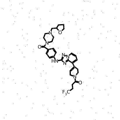 O=C(CCC(F)(F)F)N1CC=C(c2cccn3nc(Nc4ccc(C(=O)N5CCN(CC6CCCO6)CC5)cc4)nc23)CC1